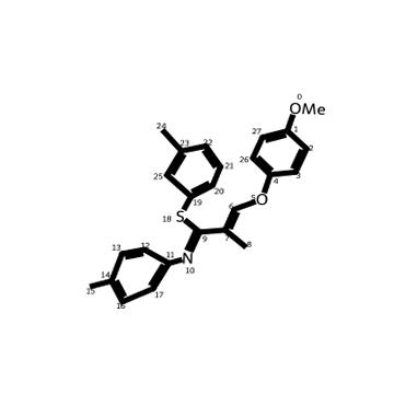 COc1ccc(O/C=C(C)/C(=N/c2ccc(C)cc2)Sc2cccc(C)c2)cc1